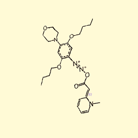 CCCCOc1cc(N2CCOCC2)c(OCCCC)cc1[N+]#[N+]OC(=O)/C=C1\C=CC=CN1C